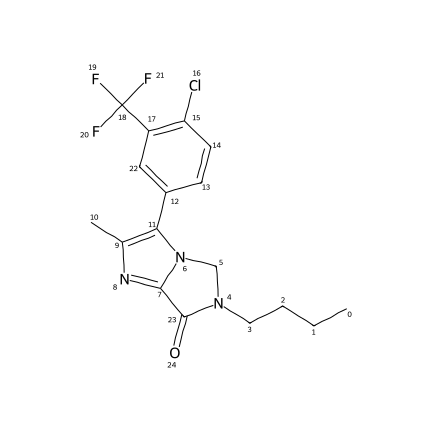 CCCCN1Cn2c(nc(C)c2-c2ccc(Cl)c(C(F)(F)F)c2)C1=O